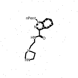 CCCCCn1nc(C(=O)NCCN2CCNCC2)c2ccccc21